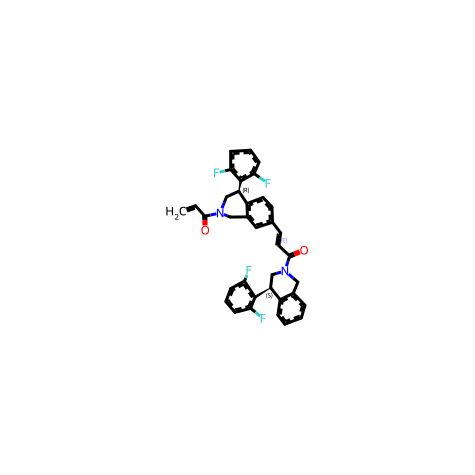 C=CC(=O)N1Cc2cc(/C=C/C(=O)N3Cc4ccccc4[C@@H](c4c(F)cccc4F)C3)ccc2[C@H](c2c(F)cccc2F)C1